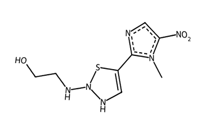 Cn1c([N+](=O)[O-])cnc1C1=CNN(NCCO)S1